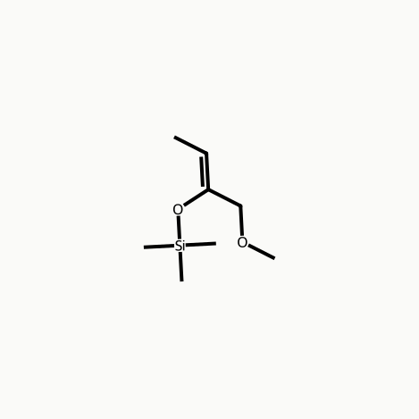 CC=C(COC)O[Si](C)(C)C